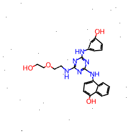 OCCOCCNc1nc(Nc2cccc(O)c2)nc(Nc2ccc(O)c3ccccc23)n1